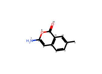 Cc1ccc2cc(N)oc(=O)c2c1